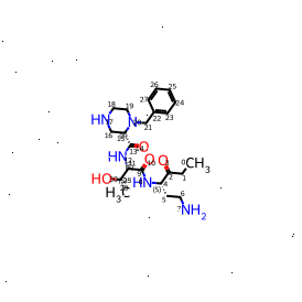 CCC(=O)[C@H](CCN)NC(=O)[C@@H](NC(=O)[C@@H]1CNCCN1Cc1ccccc1)[C@H](C)O